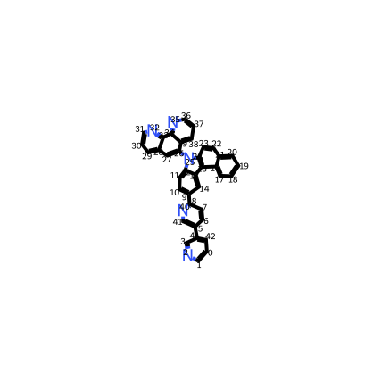 c1cncc(-c2ccc(-c3ccc4c(c3)c3c5ccccc5ccc3n4-c3cc4cccnc4c4ncccc34)nc2)c1